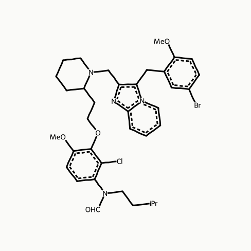 COc1ccc(Br)cc1Cc1c(CN2CCCCC2CCOc2c(OC)ccc(N(C=O)CCC(C)C)c2Cl)nc2ccccn12